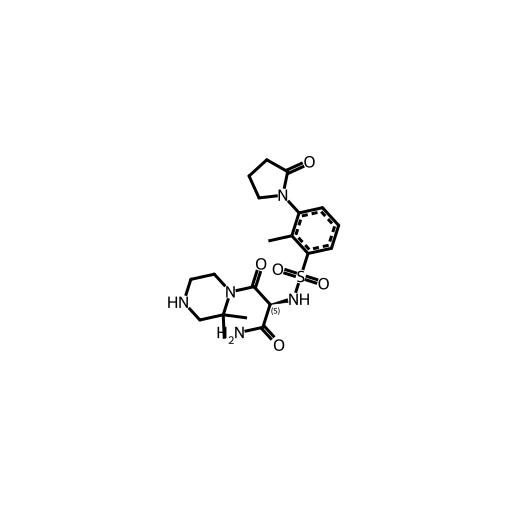 Cc1c(N2CCCC2=O)cccc1S(=O)(=O)N[C@@H](C(N)=O)C(=O)N1CCNCC1(C)C